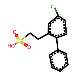 O=S(=O)(O)CCc1cc(Cl)ccc1-c1ccccc1